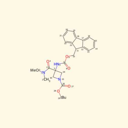 CON(C)C(=O)C1(NC(=O)OCC2c3ccccc3-c3ccccc32)CN(C(=O)OC(C)(C)C)C1